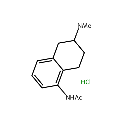 CNC1CCc2c(cccc2NC(C)=O)C1.Cl